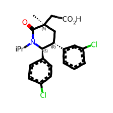 CC(C)N1C(=O)[C@@](C)(CC(=O)O)C[C@H](c2cccc(Cl)c2)[C@H]1c1ccc(Cl)cc1